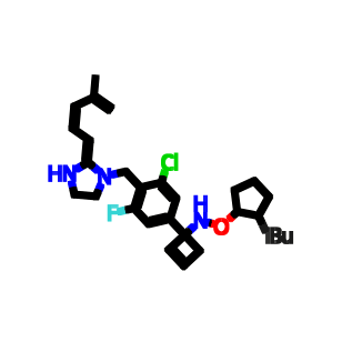 C=C(C)/C=C\C=C1/NCCN1Cc1c(F)cc(C2(NOC3CCCC3C(C)CC)C=CC2)cc1Cl